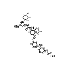 Cc1ccc(-n2nc(C(C)(C)C)cc2NC(=O)Nc2ccc(OCc3ccnc(Nc4cncc(CCCO)n4)c3)c3ccccc23)cc1